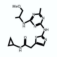 COCC(C)Nc1nc(C)nc(Nc2ncc(CC(=O)NC3CC3)s2)n1